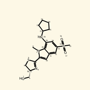 Cn1c(C2=N[C@H](CO)CS2)cc2cc(S(C)(=O)=O)cc(NC3CCCC3)c21